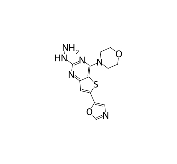 NNc1nc(N2CCOCC2)c2sc(-c3cnco3)cc2n1